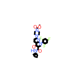 COC(=O)N1CCN(c2ccc3c(=O)c(C(=O)NC4CC5CC4C5)cn(-c4c(F)cc(F)cc4F)c3n2)CC1